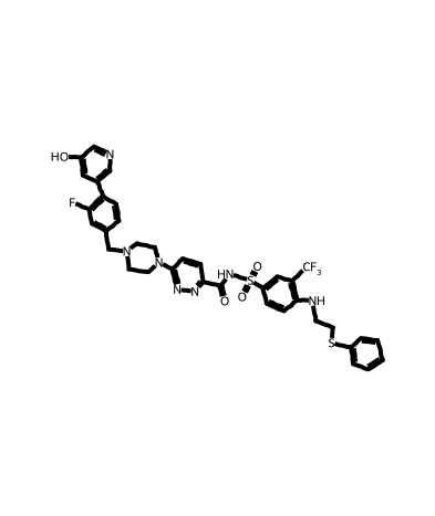 O=C(NS(=O)(=O)c1ccc(NCCSc2ccccc2)c(C(F)(F)F)c1)c1ccc(N2CCN(Cc3ccc(-c4cncc(O)c4)c(F)c3)CC2)nn1